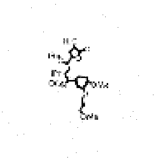 COCCCOc1cc(C(N=C=O)[C@@H](C[C@H](OC(C)(C)C)C2C[C@@H](C)C(=O)O2)C(C)C)ccc1OC